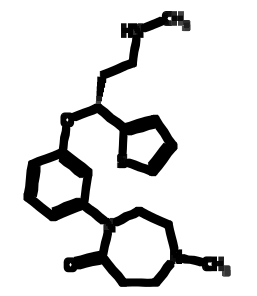 CNCC[C@@H](Oc1cccc(N2CCN(C)CCC2=O)c1)c1cccs1